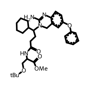 COC(=O)C(COC(C)(C)C)NC(=O)CCC(C1CCCCC1)N1Cc2cc(Oc3ccccc3)ccc2N=C1N